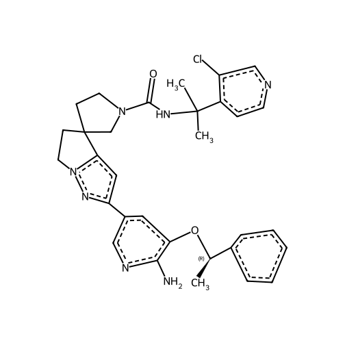 C[C@@H](Oc1cc(-c2cc3n(n2)CCC32CCN(C(=O)NC(C)(C)c3ccncc3Cl)C2)cnc1N)c1ccccc1